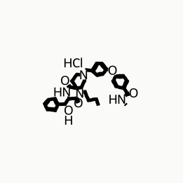 CCCCN1C(=O)[C@@H]([C@H](O)c2ccccc2)NC(=O)C12CCN(Cc1ccc(Oc3ccc(C(=O)NC)cc3)cc1)CC2.Cl